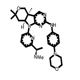 CN[C@H](C)c1cccc(N2c3nc(Nc4ccc(N5CCOCC5)cc4)ncc3[C@]3(C)COC(C)(C)C[C@H]23)n1